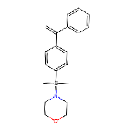 C=C(c1ccccc1)c1ccc([Si](C)(C)N2CCOCC2)cc1